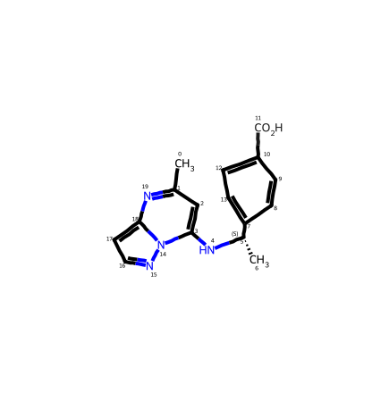 Cc1cc(N[C@@H](C)c2ccc(C(=O)O)cc2)n2nccc2n1